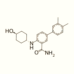 Cc1ccc(-c2ccc(N[C@H]3CC[C@H](O)CC3)c(C(N)=O)c2)cc1C